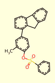 Cc1cc(-c2cccc3c2Cc2ccccc2-3)ccc1OS(=O)(=O)c1ccccc1